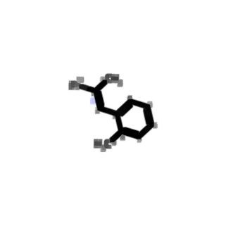 C/C(=C\c1ccccc1C)C(C)C